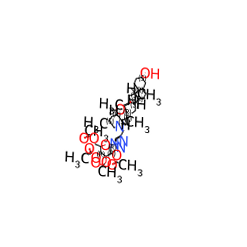 CC(=O)OCC1O[C@@H](n2cc(CN3C[C@@H](C)C[C@H]4O[C@]5(CC[C@@H]6C(=C5C)C[C@H]5[C@H]6CC=C6C[C@@H](O)CC[C@@]65C)[C@H](C)[C@@H]43)nn2)[C@H](OC(C)=O)C(OC(C)=O)[C@@H]1OC(C)=O